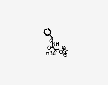 CCCC[C@H](COS(C)(=O)=O)C(=O)NOCc1ccccc1